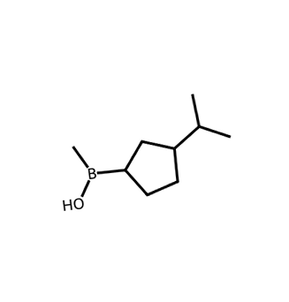 CB(O)C1CCC(C(C)C)C1